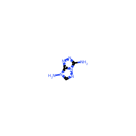 Nc1nnc2n(N)cnn12